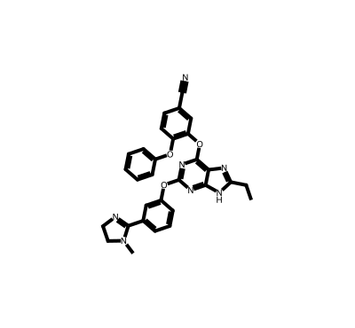 CCc1nc2c(Oc3cc(C#N)ccc3Oc3ccccc3)nc(Oc3cccc(C4=NCCN4C)c3)nc2[nH]1